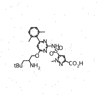 Cc1cccc(C)c1-c1cc(OCC(N)CC(C)(C)C)nc(NS(=O)(=O)c2cc(C(=O)O)nn2C)n1